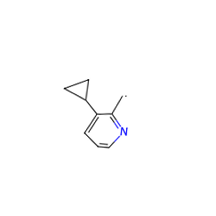 [CH2]c1ncccc1C1CC1